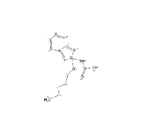 CCCCCOC1(NC(=O)O)N=c2ccccc2=N1